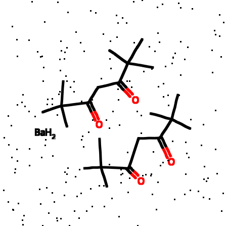 CC(C)(C)C(=O)CC(=O)C(C)(C)C.CC(C)(C)C(=O)CC(=O)C(C)(C)C.[BaH2]